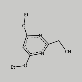 CCOc1cc(OCC)nc(CC#N)n1